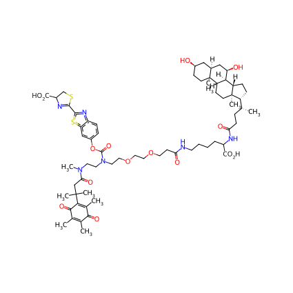 CC1=C(C)C(=O)C(C(C)(C)CC(=O)N(C)CCN(CCOCCOCCC(=O)NCCCCC(NC(=O)CC[C@@H](C)[C@H]2CC[C@H]3[C@@H]4[C@H](O)C[C@@H]5C[C@H](O)CC[C@]5(C)[C@H]4CC[C@]23C)C(=O)O)C(=O)Oc2ccc3nc(C4=NC(C(=O)O)CS4)sc3c2)=C(C)C1=O